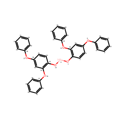 B(Oc1ccc(Oc2ccccc2)cc1Oc1ccccc1)Oc1ccc(Oc2ccccc2)cc1Oc1ccccc1